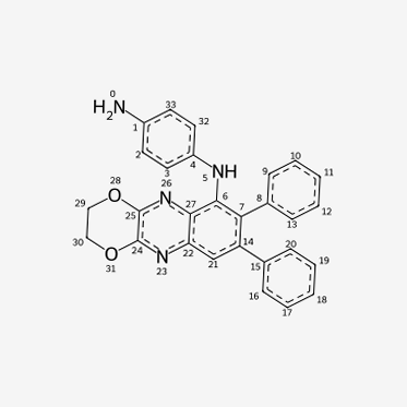 Nc1ccc(Nc2c(-c3ccccc3)c(-c3ccccc3)cc3nc4c(nc23)OCCO4)cc1